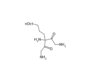 CCCCCCCCCCCC(N)(C(=O)CN)C(=O)CN